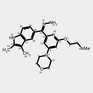 CNCCOc1cc(N2CCOCC2)cc(C(=NN)c2ccc3[nH]c(C)c(C)c3c2)n1